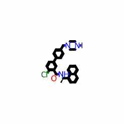 C[C@@H](NC(=O)c1cc(-c2ccc(CN3CCN(I)CC3)cc2)ccc1Cl)c1cccc2ccccc12